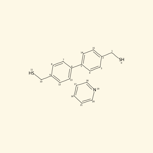 SCc1ccc(-c2ccc(CS)cc2)cc1.c1ccncc1